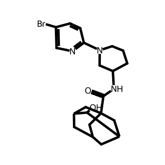 O=C(NC1CCCN(c2ccc(Br)cn2)C1)C12CC3CC(C1)C(O)C(C3)C2